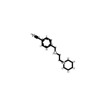 N#Cc1ccc(COCCN2CCCCC2)cc1